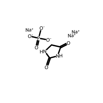 O=C1CNC(=O)N1.O=P([O-])([O-])[O-].[Na+].[Na+].[Na+]